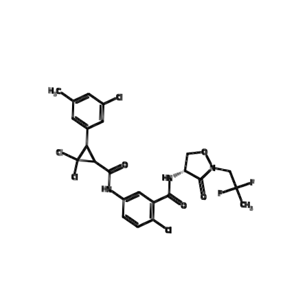 Cc1cc(Cl)cc(C2C(C(=O)Nc3ccc(Cl)c(C(=O)N[C@@H]4CON(CC(C)(F)F)C4=O)c3)C2(Cl)Cl)c1